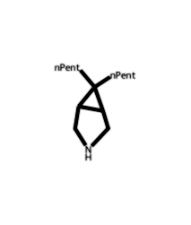 CCCCCC1(CCCCC)C2CNCC21